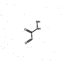 [NH]NC(=O)C=O